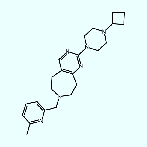 Cc1cccc(CN2CCc3cnc(N4CCN(C5CCC5)CC4)nc3CC2)n1